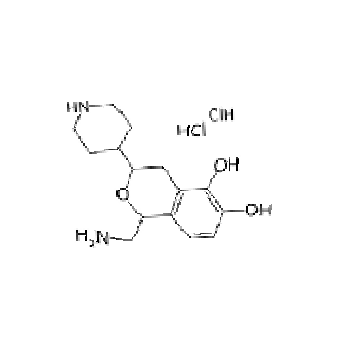 Cl.Cl.NCC1OC(C2CCNCC2)Cc2c1ccc(O)c2O